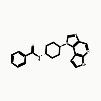 O=C(N[C@H]1CC[C@H](n2cnc3cnc4[nH]ccc4c32)CC1)c1ccccc1